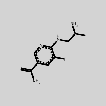 C=C(N)c1cnc(NCC(C)N)c(F)c1